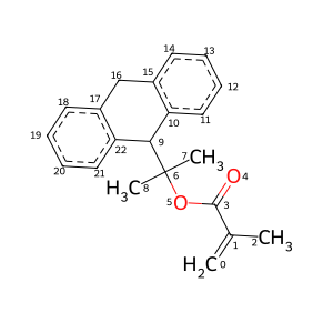 C=C(C)C(=O)OC(C)(C)C1c2ccccc2Cc2ccccc21